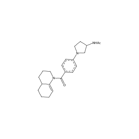 CC(=O)NC1CCN(c2ccc(C(=O)N3CCCC4CCCC=C43)cc2)C1